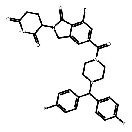 O=C1CCC(N2Cc3cc(C(=O)N4CCN(C(c5ccc(F)cc5)c5ccc(F)cc5)CC4)cc(F)c3C2=O)C(=O)N1